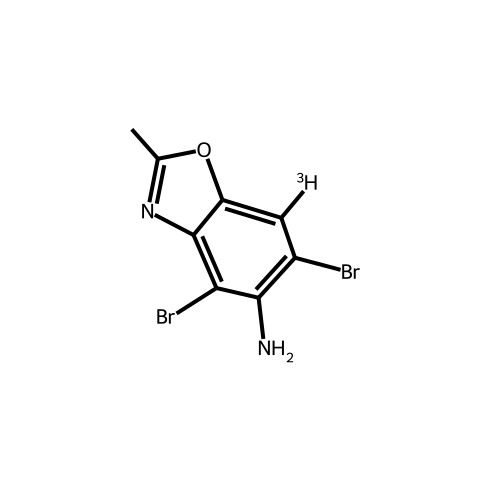 [3H]c1c(Br)c(N)c(Br)c2nc(C)oc12